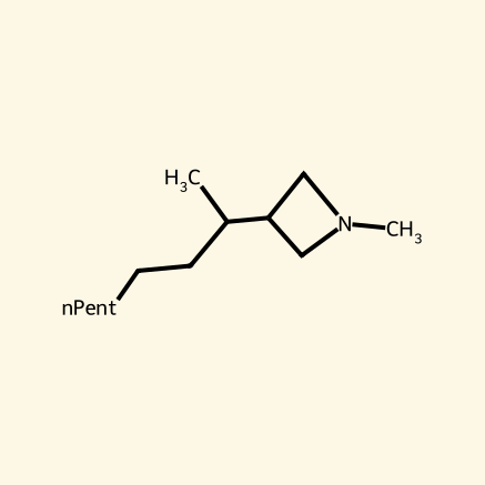 CCCCCCCC(C)C1CN(C)C1